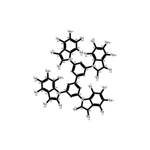 [2H]c1c([2H])c([2H])c2c(c1[2H])C([2H])C([2H])N2c1cc(-c2cc(N3c4c([2H])c([2H])c([2H])c([2H])c4C([2H])C3[2H])cc(-n3c([2H])c([2H])c4c([2H])c([2H])c([2H])c([2H])c43)c2)cc(-n2c([2H])c([2H])c3c([2H])c([2H])c([2H])c([2H])c32)c1